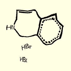 Br.Br.C1=Cc2ccccc2CN1